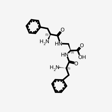 N[C@@H](Cc1ccccc1)C(=O)NC[C@H](NC(=O)[C@@H](N)Cc1ccccc1)C(=O)O